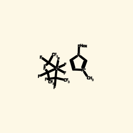 CCCCCCn1cc[n+](C)c1.FC(F)(F)C(F)(F)[P-](F)(F)(F)(C(F)(F)C(F)(F)F)C(F)(F)C(F)(F)F